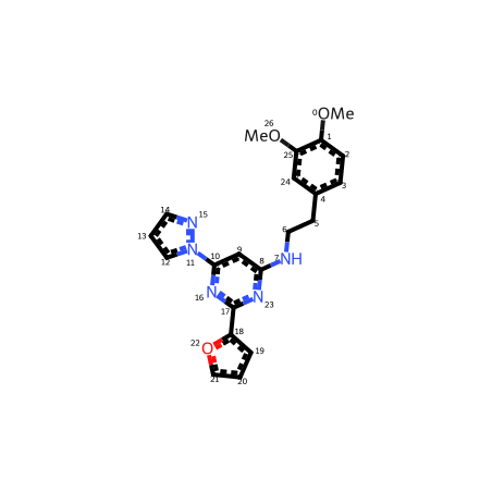 COc1ccc(CCNc2cc(-n3cccn3)nc(-c3ccco3)n2)cc1OC